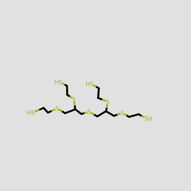 SCCSCC(CSCC(CSCCS)SCCS)SCCS